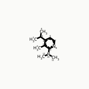 Cc1c(C(C)C)ccnc1N(C)C